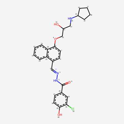 O=C(N/N=C/c1ccc(OCC(O)CNC2CCCC2)c2ccccc12)c1ccc(O)c(Cl)c1